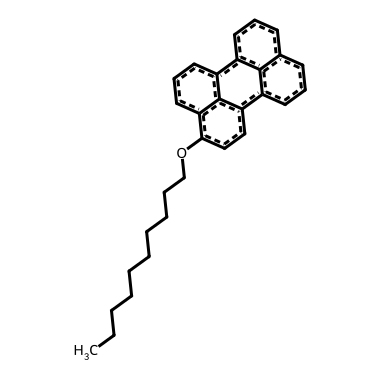 CCCCCCCCCCOc1ccc2c3cccc4cccc(c5cccc1c52)c43